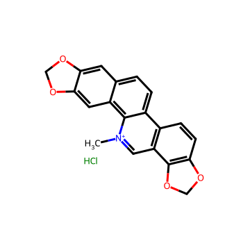 C[n+]1cc2c3c(ccc2c2ccc4cc5c(cc4c21)OCO5)OCO3.Cl